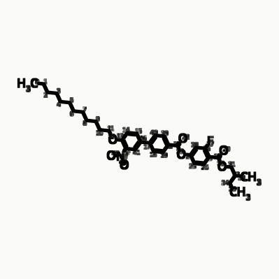 CCCCCCCCCCCCOc1ccc(-c2ccc(C(=O)Oc3ccc(C(=O)OCC(C)CC)c(F)c3)cc2)cc1[N+](=O)[O-]